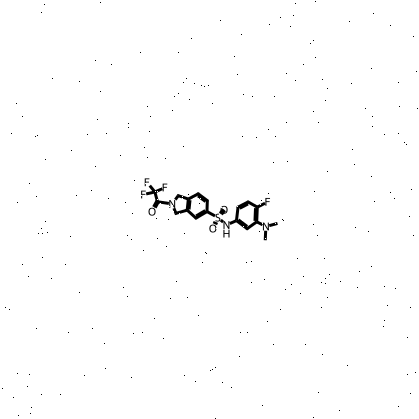 CN(C)c1cc(NS(=O)(=O)c2ccc3c(c2)CN(C(=O)C(F)(F)F)C3)ccc1F